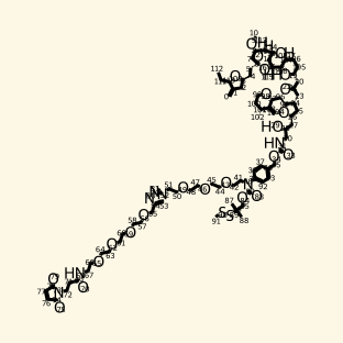 C=C1C[C@H](CC[C@]23C[C@@H](OC)[C@H](O2)[C@H]2C[C@@H](O3)[C@H]3O[C@@H](CC(=O)C[C@@H]4C[C@@H](C[C@H](O)CNC(=O)OCc5ccc(N(CCOCCOCCOCCn6cc(COCCOCCOCCOCCNC(=O)CCN7C(=O)C=CC7=O)nn6)C(=O)OCC(C)(C)SSC)cc5)O[C@H]4CC4OCC[C@@H](C)C4=C)CC[C@@H]3O2)OC1CC